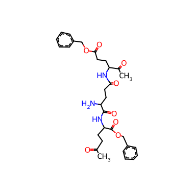 CC(=O)CCC(NC(=O)C(N)CCC(=O)NC(CCC(=O)OCc1ccccc1)C(C)=O)C(=O)OCc1ccccc1